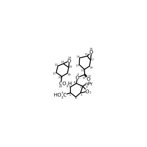 CCCC12OC1CC(C(=O)O)CC2OC(=O)C1CCC2OC2C1.O=C(O)C1CCC2OC2C1